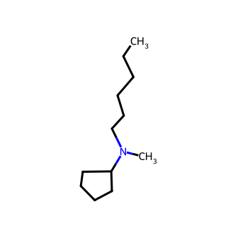 CCCCCCN(C)C1CCCC1